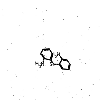 Nc1ccccc1[Se]c1ccccc1N